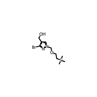 C[Si](C)(C)CCOCn1cc(CO)c(Br)n1